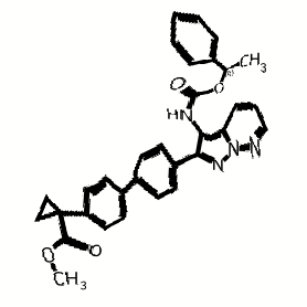 COC(=O)C1(c2ccc(-c3ccc(-c4nn5ncccc5c4NC(=O)O[C@H](C)c4ccccc4)cc3)cc2)CC1